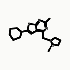 Cc1nc(CN2CCC[C@H]2C)c2cc(C3CCCCC3)sc2n1